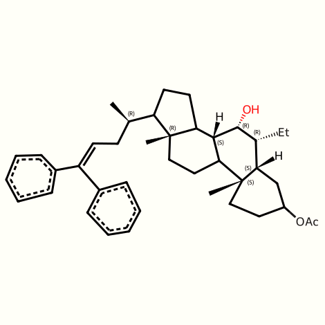 CC[C@H]1[C@@H](O)[C@H]2C3CCC([C@H](C)CC=C(c4ccccc4)c4ccccc4)[C@@]3(C)CCC2[C@@]2(C)CCC(OC(C)=O)C[C@@H]12